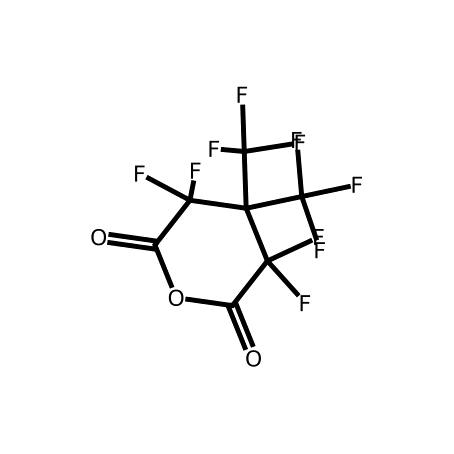 O=C1OC(=O)C(F)(F)C(C(F)(F)F)(C(F)(F)F)C1(F)F